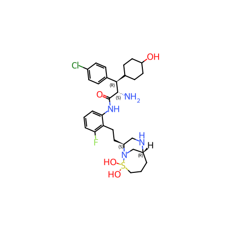 N[C@H](C(=O)Nc1cccc(F)c1CC[C@H]1CN[C@@H]2CCCS(O)(O)N1C2)[C@@H](c1ccc(Cl)cc1)C1CCC(O)CC1